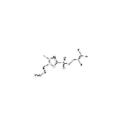 CO/N=C/c1oc(S(=O)(=O)CCC(F)=C(F)F)nc1C